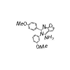 COc1ccc(C2N=c3occc3=C(N)N2c2cccc(OC)c2)cc1